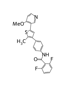 COc1ccncc1-c1cc(-c2ccc(NC(=O)c3c(F)cccc3F)cc2)c(C)s1